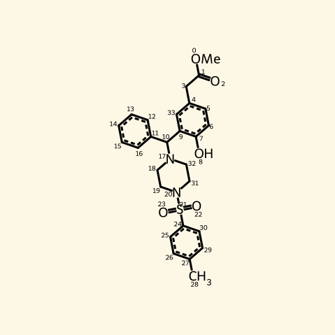 COC(=O)Cc1ccc(O)c(C(c2ccccc2)N2CCN(S(=O)(=O)c3ccc(C)cc3)CC2)c1